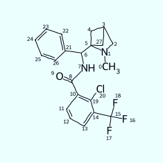 CN1CC2CC1(C(NC(=O)c1cccc(C(F)(F)F)c1Cl)c1ccccc1)C2